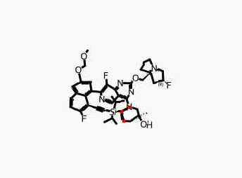 COCOc1cc(-c2ncc3c(N4CCC[C@](C)(O)C4)nc(OC[C@@]45CCCN4C[C@H](F)C5)nc3c2F)c2c(C#C[Si](C(C)C)(C(C)C)C(C)C)c(F)ccc2c1